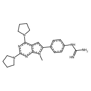 Cn1c(-c2ccc(NC(=N)N)cc2)cc2c(N3CCCC3)nc(N3CCCC3)nc21